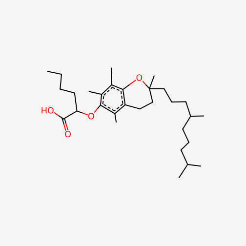 CCCCC(Oc1c(C)c(C)c2c(c1C)CCC(C)(CCCC(C)CCCC(C)C)O2)C(=O)O